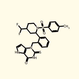 Cc1ccc(S(=O)(=O)N2CCC(C(F)F)CC2c2ccccc2Cn2c(=S)[nH]c(=O)c3[nH]ccc32)cc1